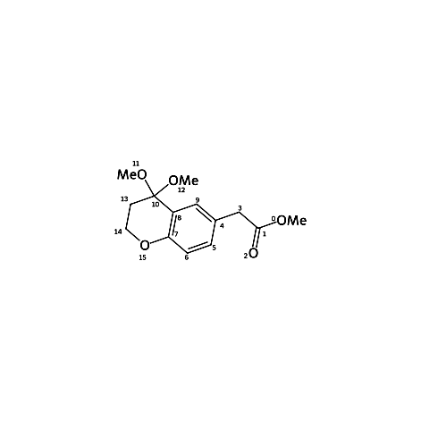 COC(=O)Cc1ccc2c(c1)C(OC)(OC)CCO2